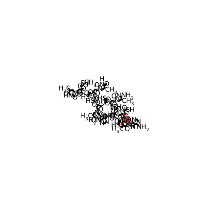 COP(=O)(S)OC1C[C@H](n2cc(C)c(=O)[nH]c2=O)O[C@@H]1COP(=O)(S)OC1C[C@H](n2cc(C)c(=O)[nH]c2=O)O[C@@H]1COP(=O)(S)OC1C[C@H](n2cc(C)c(=O)[nH]c2=O)O[C@@H]1COP(=O)(S)OC1C[C@H](n2cc(C)c(N)nc2=O)O[C@@H]1COP(=O)(S)OC1C[C@H](n2cnc3c(N)ncnc32)O[C@@H]1COP(=O)(S)OC1C[C@H](n2cnc3c(N)ncnc32)O[C@@H]1COP(=O)(S)OC1C[C@H](n2cc(C)c(=O)[nH]c2=O)O[C@@H]1C